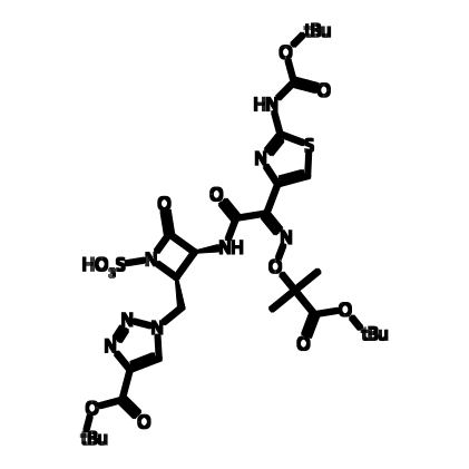 CC(C)(C)OC(=O)Nc1nc(C(=NOC(C)(C)C(=O)OC(C)(C)C)C(=O)N[C@@H]2C(=O)N(S(=O)(=O)O)[C@@H]2Cn2cc(C(=O)OC(C)(C)C)nn2)cs1